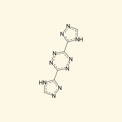 c1nnc(-c2nnc(-c3nnc[nH]3)nn2)[nH]1